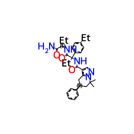 CCc1ccc(C(CC)(NC(=O)c2cnn3c2C[C@H](c2ccccc2)CC3(C)C)C(=O)N[C@@H](CC)C(N)=O)cc1